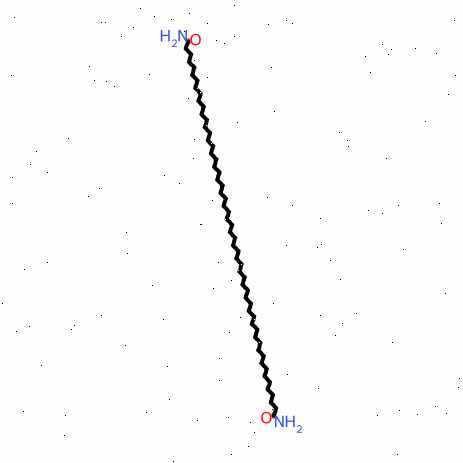 NC(=O)CCCCCCCCCCCCCCCCCCCCCCCCCCCCCCCCCCCCCCCCCCCCCCCCCCCCCCCCC(N)=O